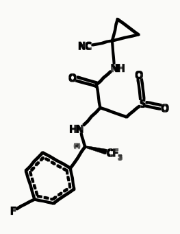 N#CC1(NC(=O)C(C[S](=O)=O)N[C@H](c2ccc(F)cc2)C(F)(F)F)CC1